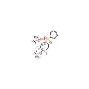 C[C@@H]1[C@H](O[Si](C)(C)C(C)(C)C)[C@@H](C)C=C[C@](O)(S(=O)(=O)c2ccccc2)[C@H]1O[Si](C)(C)C(C)(C)C